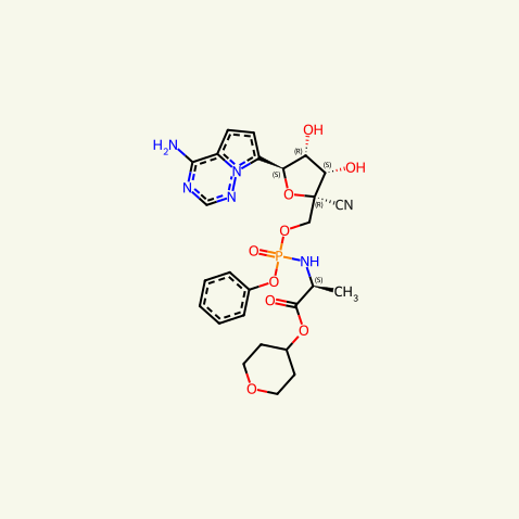 C[C@H](NP(=O)(OC[C@@]1(C#N)O[C@@H](c2ccc3c(N)ncnn23)[C@H](O)[C@@H]1O)Oc1ccccc1)C(=O)OC1CCOCC1